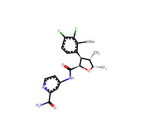 COc1c([C@H]2[C@H](C)[C@H](C(F)(F)F)O[C@H]2C(=O)Nc2ccnc(C(N)=O)c2)ccc(F)c1F